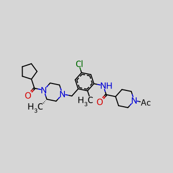 CC(=O)N1CCC(C(=O)Nc2cc(Cl)cc(CN3CCN(C(=O)C4CCCC4)[C@@H](C)C3)c2C)CC1